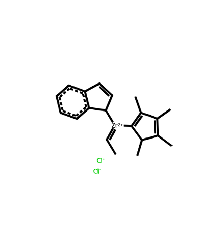 C[CH]=[Zr+2]([C]1=C(C)C(C)=C(C)C1C)[CH]1C=Cc2ccccc21.[Cl-].[Cl-]